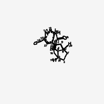 O=C(O)NC1[C@@H]2CC[C@H]1CN(c1cnnc(Cl)c1)C2